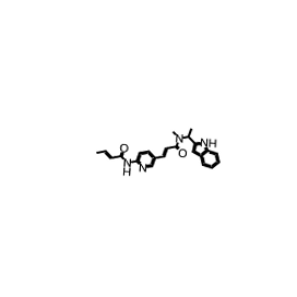 CC=CC(=O)Nc1ccc(C=CC(=O)N(C)C(C)c2cc3ccccc3[nH]2)cn1